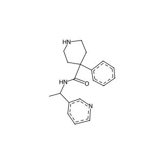 CC(NC(=O)C1(c2ccccc2)CCNCC1)c1cccnc1